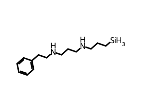 [SiH3]CCCNCCCNCCc1ccccc1